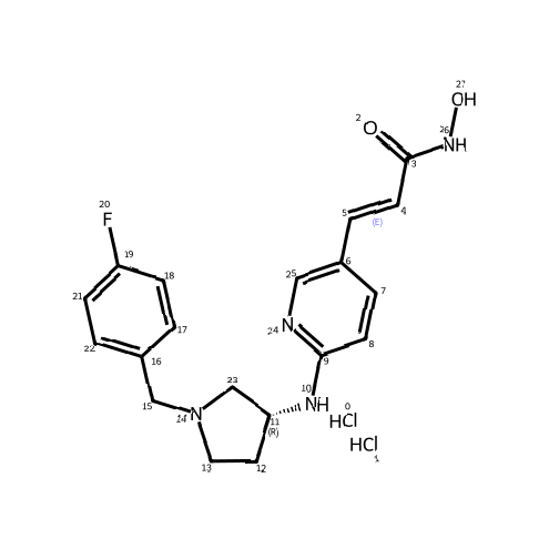 Cl.Cl.O=C(/C=C/c1ccc(N[C@@H]2CCN(Cc3ccc(F)cc3)C2)nc1)NO